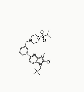 CC(C)S(=O)(=O)N1CCN(Cc2cccc(-c3ccc4c(n3)n(C)c(=O)n4CC(C)(C)C)c2)CC1